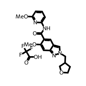 COc1cccc(NC(=O)c2cc3cn(CC4CCOC4)nc3cc2OC)n1.O=C(O)C(F)(F)F